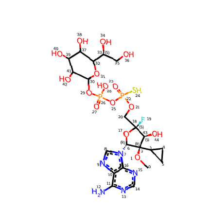 CO[C@@]1(C2CC2)[C@H](n2cnc3c(N)ncnc32)O[C@](F)(COP(=O)(S)OP(=O)(O)OC2OC([C@@H](O)CO)C(O)C(O)C2O)[C@H]1O